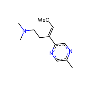 COC=C(CCN(C)C)c1cnc(C)cn1